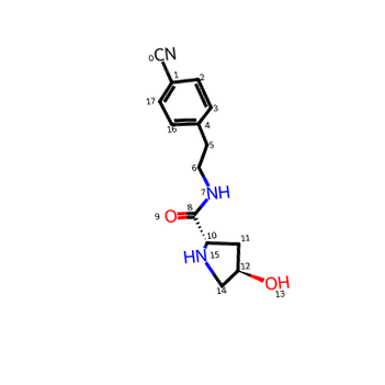 N#Cc1ccc(CCNC(=O)[C@@H]2C[C@@H](O)CN2)cc1